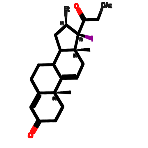 CC[C@@H]1CC2C3CCC4=CC(=O)CC[C@]4(C)C3=CC[C@]2(C)[C@@]1(I)C(=O)COC(C)=O